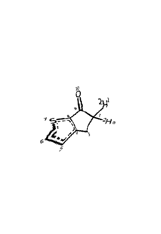 [2H]C1([2H])Cc2ccsc2C1=O